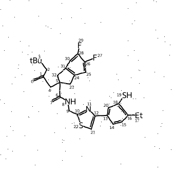 C=C(CC(C)(C)C)CC1(C(=C)NCc2nc(-c3ccc(CC)c(S)c3)cs2)Cc2cc(F)c(F)cc2C1